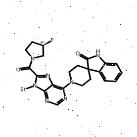 CCn1c(C(=O)N2CC[C@@H](F)C2)nc2c(N3CCC4(CC3)C(=O)Nc3ccccc34)ncnc21